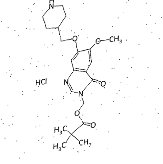 COc1cc2c(=O)n(COC(=O)C(C)(C)C)cnc2cc1OCC1CCNCC1.Cl